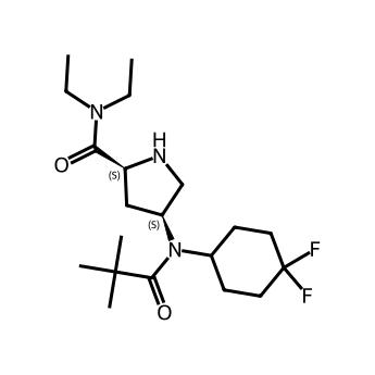 CCN(CC)C(=O)[C@@H]1C[C@H](N(C(=O)C(C)(C)C)C2CCC(F)(F)CC2)CN1